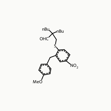 CCCCC(C=O)(CCCC)CSc1ccc([N+](=O)[O-])cc1Cc1ccc(OC)cc1